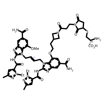 CCn1nc(C)cc1C(=O)Nc1nc2cc(C(N)=O)cc(OC)c2n1C/C=C/Cn1c(NC(=O)c2cc(C)nn2CC)nc2cc(C(N)=O)cc(OCCC3CN(C(=O)CCN4C(=O)CC(SC[C@H](N)C(=O)O)C4=O)C3)c21